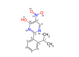 CC(C)c1ccccc1-c1ncc([N+](=O)[O-])c(O)n1